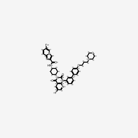 O=C(N[C@H]1CC[C@@H](n2c(=O)c3cc(F)cnc3n(-c3cccc(-c4ccc(OCCCN5CCOCC5)cc4)c3)c2=O)CC1)c1cn2cc(F)ccc2n1